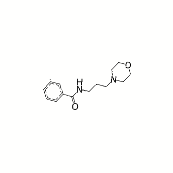 O=C(NCCCN1CCOCC1)c1c[c]ccc1